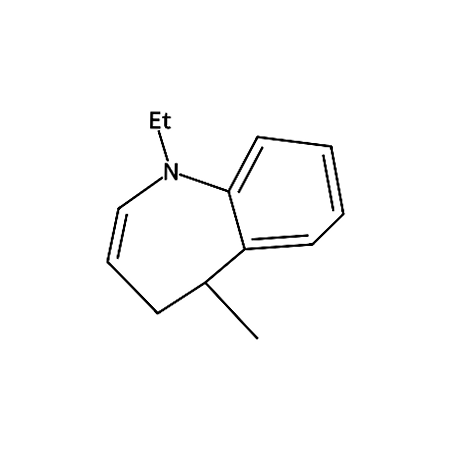 CCN1C=CCC(C)c2ccccc21